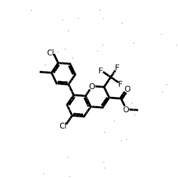 COC(=O)C1=Cc2cc(Cl)cc(-c3ccc(Cl)c(C)c3)c2OC1C(F)(F)F